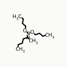 CCCCO[SiH](OCCCC)C(C)CCCC